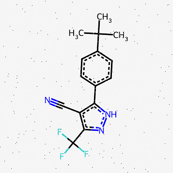 CC(C)(C)c1ccc(-c2[nH]nc(C(F)(F)F)c2C#N)cc1